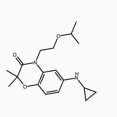 CC(C)OCCN1C(=O)C(C)(C)Oc2ccc(NC3CC3)cc21